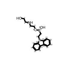 OCCNCCOB(O)CCn1c2ccccc2c2ccccc21